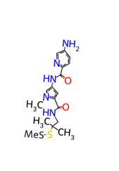 CSSC(C)(C)CNC(=O)c1cc(NC(=O)c2ccc(N)cn2)cn1C